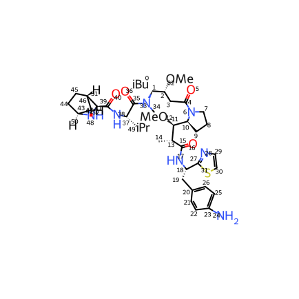 CC[C@H](C)[C@@H]([C@@H](CC(=O)N1CCC[C@H]1[C@H](OC)[C@@H](C)C(=O)N[C@@H](Cc1ccc(N)cc1)c1nccs1)OC)N(C)C(=O)[C@@H](NC(=O)[C@H]1N[C@H]2CC[C@H]1[C@@H]2C)C(C)C